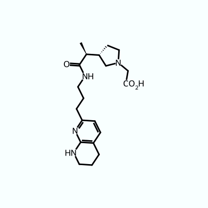 C[C@H](C(=O)NCCCc1ccc2c(n1)NCCC2)[C@@H]1CCN(CC(=O)O)C1